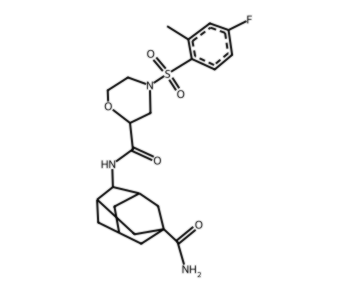 Cc1cc(F)ccc1S(=O)(=O)N1CCOC(C(=O)NC2C3CC4CC2CC(C(N)=O)(C4)C3)C1